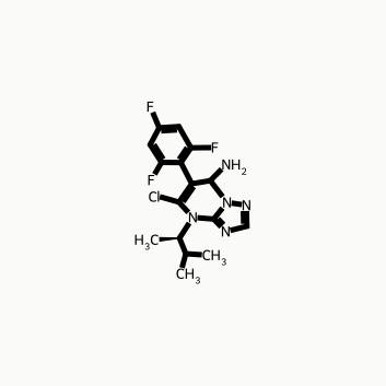 CC(C)[C@@H](C)N1C(Cl)=C(c2c(F)cc(F)cc2F)C(N)n2ncnc21